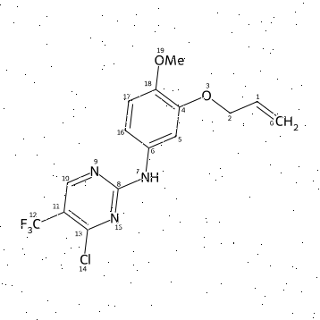 C=CCOc1cc(Nc2ncc(C(F)(F)F)c(Cl)n2)ccc1OC